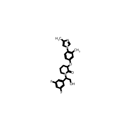 Cc1cn(-c2ccc(OC3CCCN(C(CO)c4cc(F)cc(F)c4)C3=O)cc2C)cn1